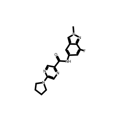 Cn1cc2cc(NC(=O)c3cnc(N4CCCC4)cn3)cc(F)c2n1